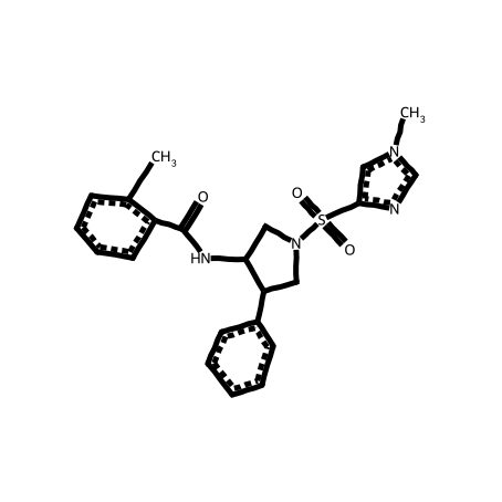 Cc1ccccc1C(=O)NC1CN(S(=O)(=O)c2cn(C)cn2)CC1c1ccccc1